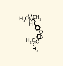 CC(=O)N[C@@H](C)CCc1ccc(Oc2ccc(OC(C)C)cn2)cc1